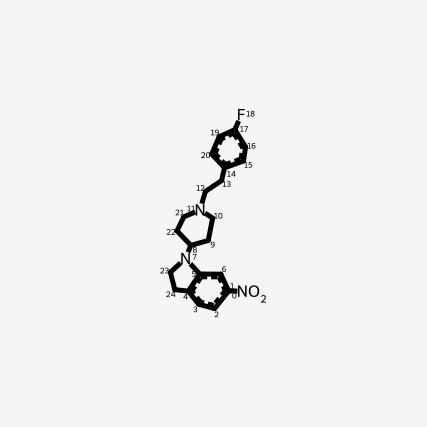 O=[N+]([O-])c1ccc2c(c1)N(C1CCN(CCc3ccc(F)cc3)CC1)CC2